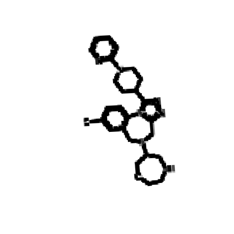 Clc1ccc2c(c1)CN(C1CNCCOC1)Cc1nnc(C3CCN(c4ccccn4)CC3)n1-2